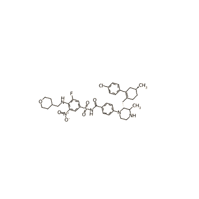 CC1NCCN(c2ccc(C(=O)NS(=O)(=O)c3cc(F)c(NCC4CCOCC4)c([N+](=O)[O-])c3)cc2)[C@@H]1CC1=C(c2ccc(Cl)cc2)C[C@@H](C)CC1